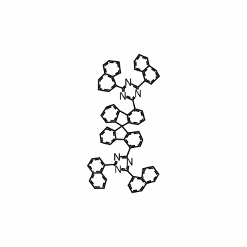 c1ccc2c(c1)-c1c(-c3nc(-c4cccc5ccccc45)nc(-c4cccc5ccccc45)n3)cccc1C21c2ccccc2-c2c(-c3nc(-c4cccc5ccccc45)nc(-c4cccc5ccccc45)n3)cccc21